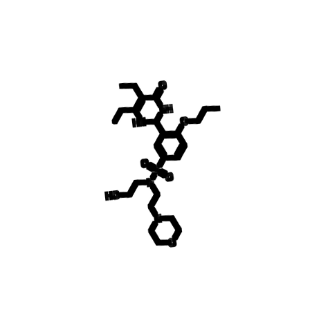 CCCOc1ccc(S(=O)(=O)N(CCO)CCN2CCOCC2)cc1C1NC(=O)C(CC)=C(CC)N1